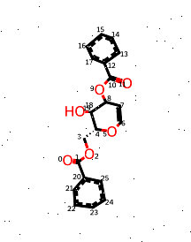 O=C(OC[C@H]1OC=CC(OC(=O)c2ccccc2)[C@@H]1O)c1ccccc1